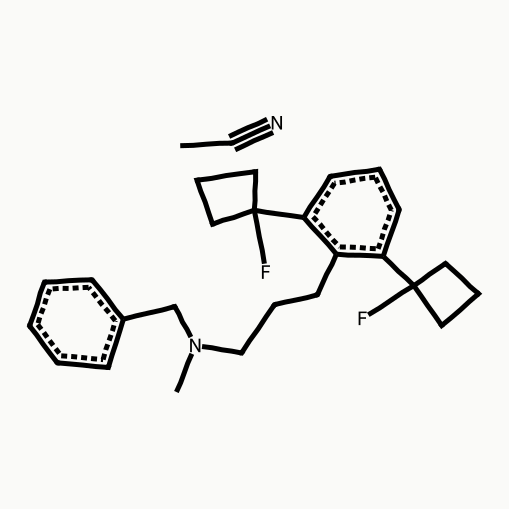 CC#N.CN(CCCc1c(C2(F)CCC2)cccc1C1(F)CCC1)Cc1ccccc1